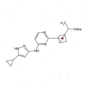 COC(C)C12CC(C1)N(c1nccc(Nc3cc(C4CC4)[nH]n3)n1)C2